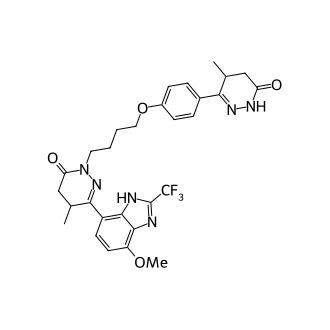 COc1ccc(C2=NN(CCCCOc3ccc(C4=NNC(=O)CC4C)cc3)C(=O)CC2C)c2[nH]c(C(F)(F)F)nc12